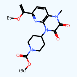 C=C(OCC)c1ccc2c(n1)n(C1CCN(C(=O)OC(C)(C)C)CC1)c(=O)c(=O)n2C